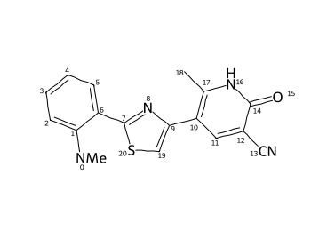 CNc1ccccc1-c1nc(-c2cc(C#N)c(=O)[nH]c2C)cs1